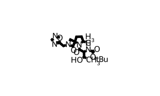 CC(O)C(NC(=O)OC(C)(C)C)C(=O)N1C(C)CCC12CN(Cc1ncno1)C2=O